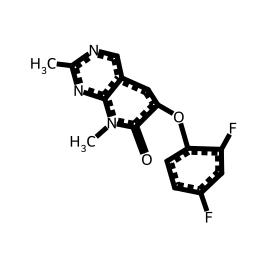 Cc1ncc2cc(Oc3ccc(F)cc3F)c(=O)n(C)c2n1